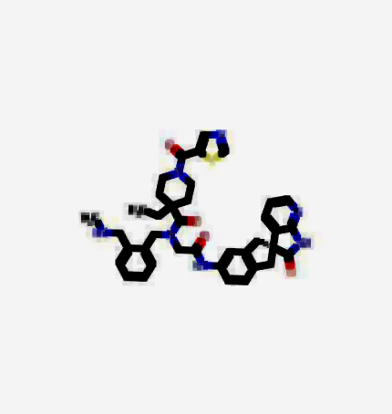 CCC1(C(=O)N(CC(=O)Nc2ccc3c(c2)C[C@@]2(C3)C(=O)Nc3ncccc32)Cc2ccccc2CNC)CCN(C(=O)c2cncs2)CC1